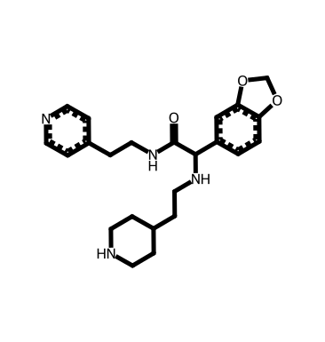 O=C(NCCc1ccncc1)C(NCCC1CCNCC1)c1ccc2c(c1)OCO2